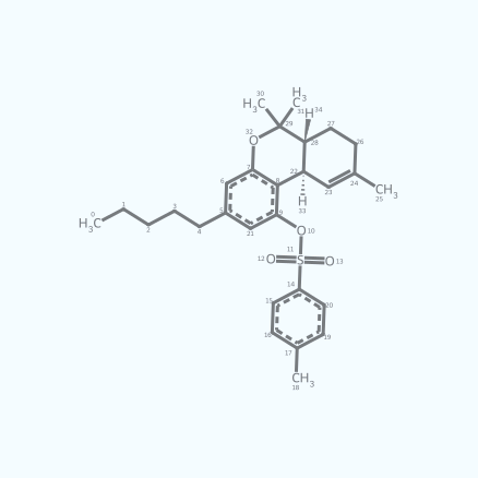 CCCCCc1cc2c(c(OS(=O)(=O)c3ccc(C)cc3)c1)[C@@H]1C=C(C)CC[C@H]1C(C)(C)O2